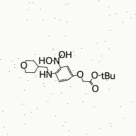 CC(C)(C)OC(=O)COc1ccc(NCC2CCOCC2)c(N(O)O)c1